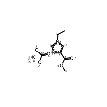 CCn1cnc(C(=O)OC)c1.O=C([O-])[O-].[K+].[K+]